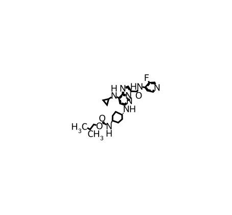 CC(C)COC(=O)N[C@H]1CC[C@H](Nc2cc(NC3CC3)c3ncc(C(=O)Nc4ccncc4F)n3n2)CC1